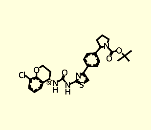 CC(C)(C)OC(=O)N1CCCC1c1ccc(-c2csc(NC(=O)N[C@H]3CCOc4c(Cl)cccc43)n2)cc1